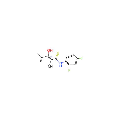 C=C(C)/C(O)=C(\C#N)C(=S)Nc1ccc(F)cc1F